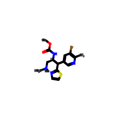 CC(C)(C)OC(=O)N[C@H](CN(C(=O)O)C(C)(C)C)C(c1cnc(C(F)(F)F)c(Br)c1)c1nccs1